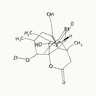 CCOC1C(C)CCC2(OCC)C3(C)CC(=O)OC12C1(O)C(C)=C(O)C(=O)[C@H]31